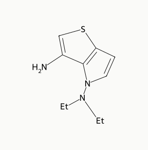 CCN(CC)n1ccc2scc(N)c21